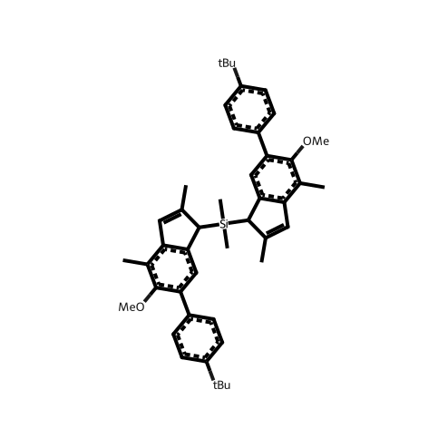 COc1c(-c2ccc(C(C)(C)C)cc2)cc2c(c1C)C=C(C)C2[Si](C)(C)C1C(C)=Cc2c1cc(-c1ccc(C(C)(C)C)cc1)c(OC)c2C